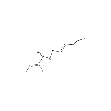 C/C=C(\C)C(=O)OCC=CCCC